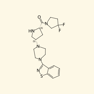 O=C([C@@H]1C[C@H](N2CCN(c3nsc4ccccc34)CC2)CN1)N1CCC(F)(F)C1